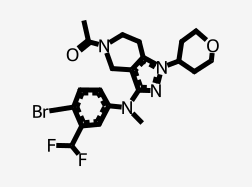 CC(=O)N1CCc2c(c(N(C)c3ccc(Br)c(C(F)F)c3)nn2C2CCOCC2)C1